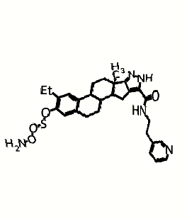 CCc1cc2c(cc1OSOON)CCC1C2CC[C@]2(C)c3n[nH]c(C(=O)NCCc4cccnc4)c3CC12